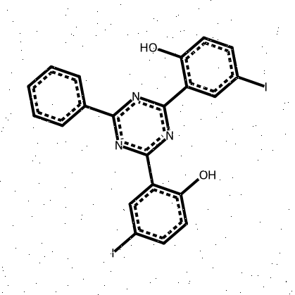 Oc1ccc(I)cc1-c1nc(-c2ccccc2)nc(-c2cc(I)ccc2O)n1